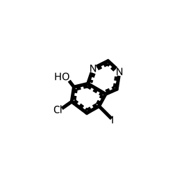 Oc1c(Cl)cc(I)c2cncnc12